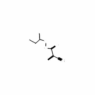 C=C(C#N)C(=O)OOC(C)CC